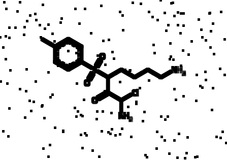 Cc1ccc(S(=O)(=O)C(CCCCN)C(=O)C(N)Cl)cc1